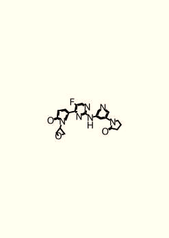 O=C1CCCN1c1cncc(Nc2ncc(F)c(-c3ccc(=O)n(C4COC4)c3)n2)c1